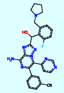 N#Cc1cccc(-c2nc(N)c3nc(C(O)c4c(F)cccc4CN4CCCC4)nn3c2-c2ccncn2)c1